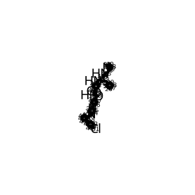 O=C(NS(=O)(=O)c1ccc(N[C@H](CCNCc2ccccn2)CSc2ccccc2)cc1)c1ccc(N2CCN(Cc3ccccc3-c3ccc(Cl)cc3)CC2)cc1